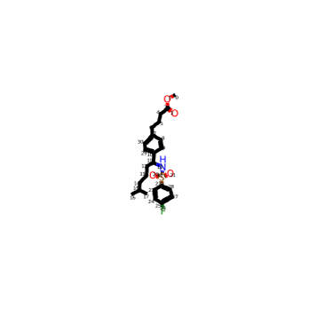 COC(=O)CCCc1ccc(C(CCCC(C)C)NS(=O)(=O)c2ccc(F)cc2)cc1